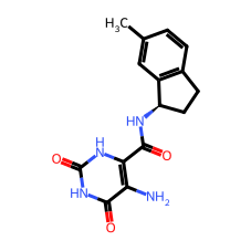 Cc1ccc2c(c1)[C@H](NC(=O)c1[nH]c(=O)[nH]c(=O)c1N)CC2